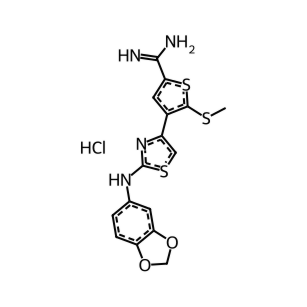 CSc1sc(C(=N)N)cc1-c1csc(Nc2ccc3c(c2)OCO3)n1.Cl